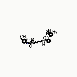 CCc1ccc(/C=C2\SC(=O)N(CCCCCCNC(=O)c3ccccc3Nc3ccc(N=O)c4nonc34)C2=O)cc1